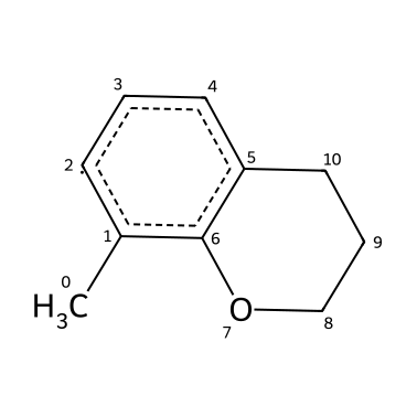 Cc1[c]ccc2c1OCCC2